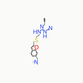 C#CC/N=C(\NC#N)NCCSCc1cc2ccc(CN(C)C)cc2o1